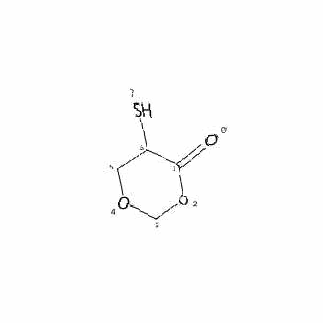 O=C1OCOCC1S